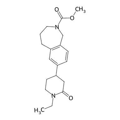 CCN1CCC(c2ccc3c(c2)CCCN(C(=O)OC)C3)CC1=O